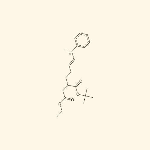 CCOC(=O)CN(CCC=N[C@H](C)c1ccccc1)C(=O)OC(C)(C)C